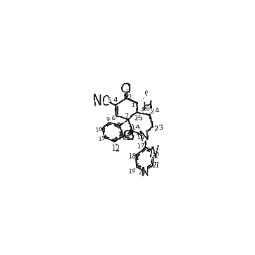 C[C@H]1C(=O)C(C#N)=C[C@@]2(c3ccccc3)C(=O)N(c3ccncn3)CC[C@H]12